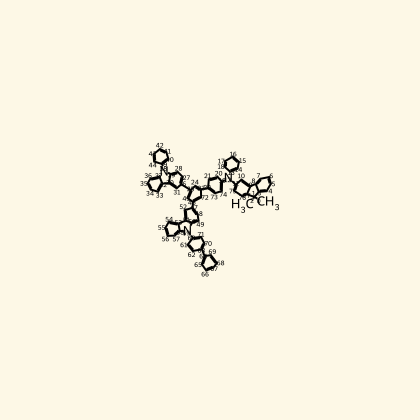 CC1(C)c2ccccc2-c2cc(N(c3ccccc3)c3ccc(-c4cc(-c5ccc6c(c5)c5ccccc5n6-c5ccccc5)cc(-c5ccc6c(c5)c5ccccc5n6-c5ccc(-c6ccccc6)cc5)c4)cc3)ccc21